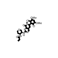 C=CC(=O)N[C@H]1CCOC[C@H]1Nc1ncc2cc(-c3c(Cl)c(OC)cc(OC)c3Cl)n(C)c(=O)c2n1